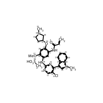 C=CC(=O)Nc1cc(Nc2ncc(Cl)c(-c3cn(C)c4ccccc34)n2)c(OC)cc1O[C@H]1CCN(C)C1.CS(=O)(=O)O